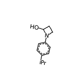 CC(C)c1ccc(N2CCC2O)cc1